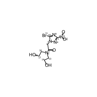 O=C(Cn1nc([N+](=O)[O-])nc1Br)N(CCO)CCO